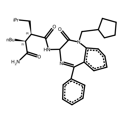 CCCC[C@H](C(N)=O)[C@@H](CC(C)C)C(=O)NC1N=C(c2ccccc2)c2ccccc2N(CC2CCCC2)C1=O